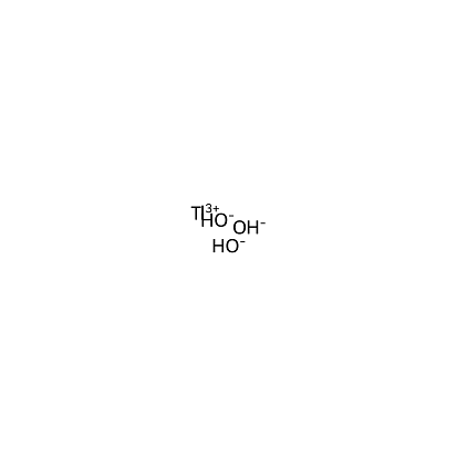 [OH-].[OH-].[OH-].[Tl+3]